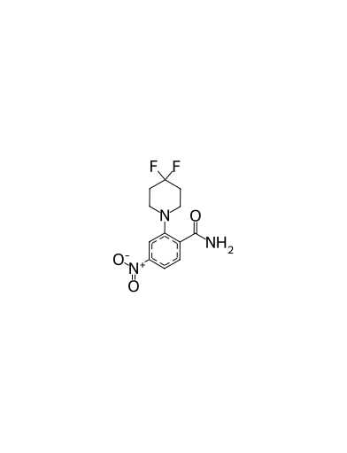 NC(=O)c1ccc([N+](=O)[O-])cc1N1CCC(F)(F)CC1